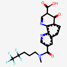 CN(CCCC(F)(F)C(F)(F)F)C(=O)c1cnc2c3c(ccc2c1)C(=O)C(C(=O)O)C=N3